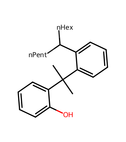 CCCCCCC(CCCCC)c1ccccc1C(C)(C)c1ccccc1O